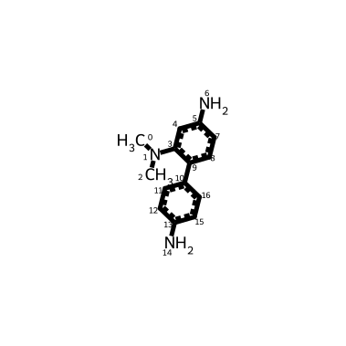 CN(C)c1cc(N)ccc1-c1ccc(N)cc1